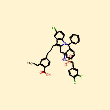 CCc1cc(CCCc2c(CCNS(=O)(=O)Cc3ccc(Cl)c(Cl)c3)n(C(c3ccccc3)c3ccccc3)c3ccc(Cl)cc23)ccc1C(=O)O